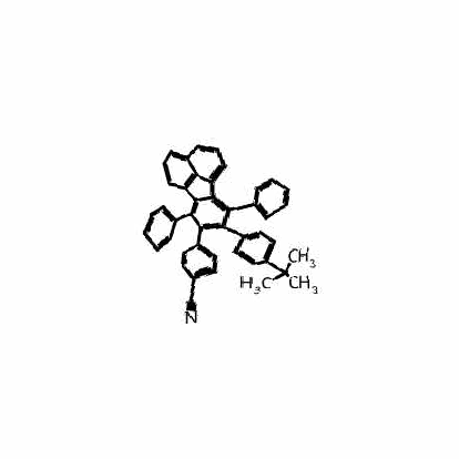 CC(C)(C)c1ccc(-c2c(-c3ccc(C#N)cc3)c(-c3ccccc3)c3c(c2-c2ccccc2)-c2cccc4cccc-3c24)cc1